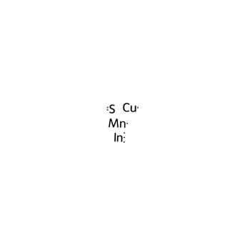 [Cu].[In].[Mn].[S]